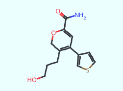 NC(=O)C1=CC(c2ccsc2)=C(CCCO)CO1